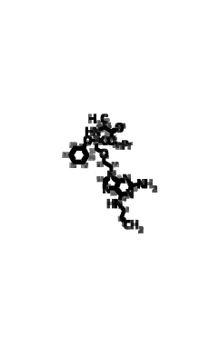 C=CCNc1nc(N)nc2c1ncn2CCOCP(=O)(N[C@@H](C)C(=O)OCCC)Oc1ccccc1